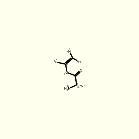 [2H]C([2H])=C([2H])OC(=O)[C@H](C)N